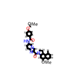 COCOc1ccc(C(=O)Nc2ccc3nc(C(=O)N4CCc5c4cc(OC)c4cccc(C)c54)cn3c2)cc1